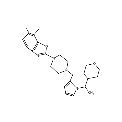 CC(C1CCOCC1)n1cncc1CN1CCN(c2nc3ccc(F)c(F)c3o2)CC1